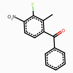 Cc1c(C(=O)c2ccccc2)ccc([N+](=O)[O-])c1F